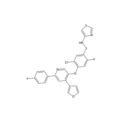 Fc1ccc(-c2cc(-c3ccoc3)c(Oc3cc(F)c(SNc4cscn4)cc3Cl)cn2)cc1